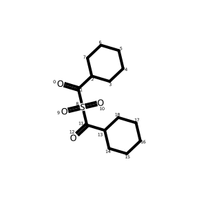 O=C(C1CCCCC1)S(=O)(=O)C(=O)C1CCCCC1